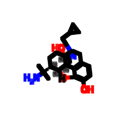 CC(C)(N)[C@@H]1CC[C@@]2(O)C3Cc4ccc(O)c5c4[C@@]2(CCN3CC2CC2)[C@H]1O5